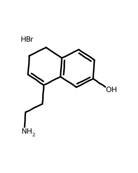 Br.NCCC1=CCCc2ccc(O)cc21